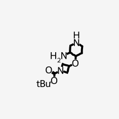 CC(C)(C)OC(=O)N1CC(OC2CCNCC2N)C1